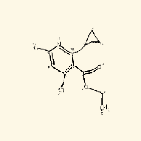 CCOC(=O)c1c(Cl)cc(Cl)nc1C1CC1